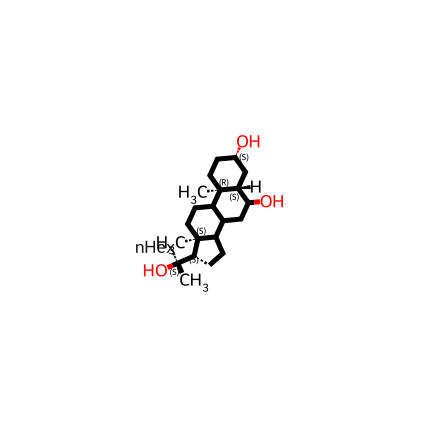 CCCCCC[C@](C)(O)[C@H]1CCC2C3CC(O)[C@H]4C[C@@H](O)CC[C@]4(C)C3CC[C@@]21C